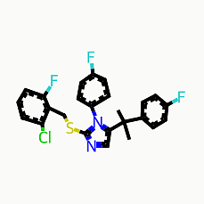 CC(C)(c1ccc(F)cc1)c1cnc(SCc2c(F)cccc2Cl)n1-c1ccc(F)cc1